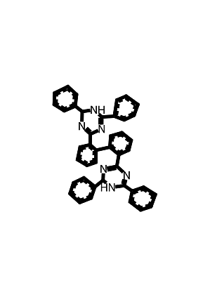 c1ccc(C2=NC(c3ccccc3-c3ccccc3C3=NC(c4ccccc4)NC(c4ccccc4)=N3)=NC(c3ccccc3)N2)cc1